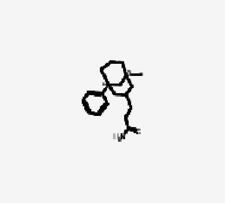 C[C@@]12CCC[C@@](c3ccccc3)(CC(CCC(N)=O)C1)C2